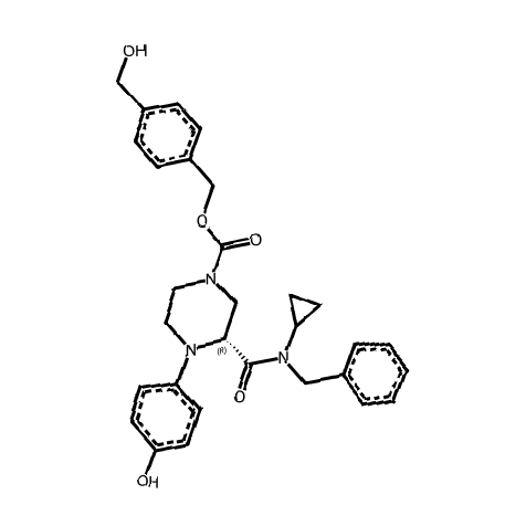 O=C(OCc1ccc(CO)cc1)N1CCN(c2ccc(O)cc2)[C@@H](C(=O)N(Cc2ccccc2)C2CC2)C1